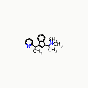 CC(C1=CC(C(C)N(C)C)c2ccccc21)c1ccccn1